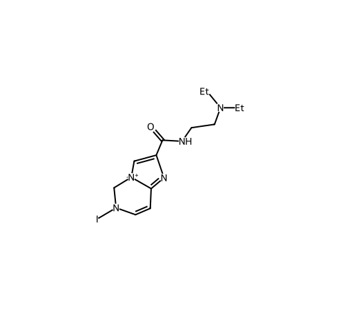 CCN(CC)CCNC(=O)C1=C[N+]2CN(I)C=CC2=N1